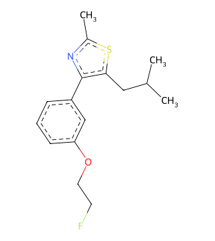 Cc1nc(-c2cccc(OCCF)c2)c(CC(C)C)s1